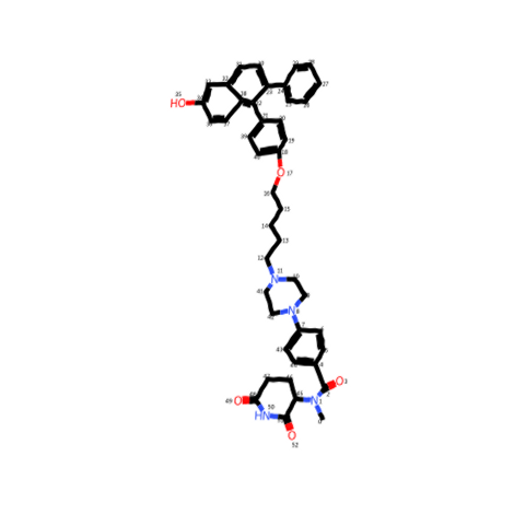 CN(C(=O)c1ccc(N2CCN(CCCCCOc3ccc(-c4c(-c5ccccc5)ccc5cc(O)ccc45)cc3)CC2)cc1)C1CCC(=O)NC1=O